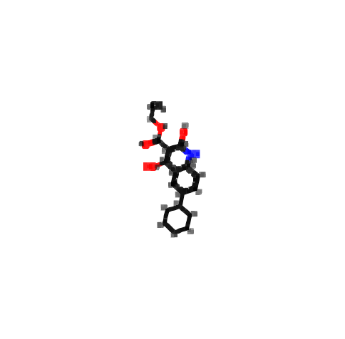 CCOC(=O)c1c(O)c2cc(C3CCCCC3)ccc2[nH]c1=O